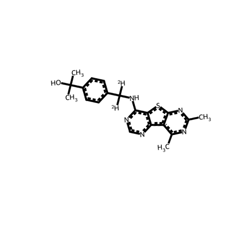 [2H]C([2H])(Nc1ncnc2c1sc1nc(C)nc(C)c12)c1ccc(C(C)(C)O)cc1